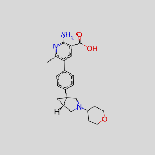 Cc1nc(N)c(C(=O)O)cc1-c1ccc([C@]23C[C@H]2CN(C2CCOCC2)C3)cc1